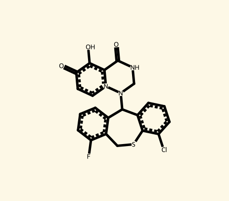 O=C1NCN(C2c3cccc(F)c3CSc3c(Cl)cccc32)n2ccc(=O)c(O)c21